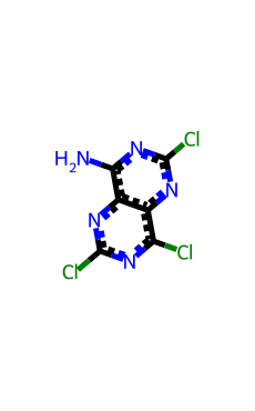 Nc1nc(Cl)nc2c(Cl)nc(Cl)nc12